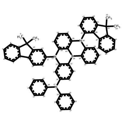 CC1(C)c2ccccc2-c2ccc(N3c4cc(N(c5ccccc5)c5ccccc5)ccc4B4c5ccccc5N(c5cccc6c5-c5ccccc5C6(C)C)c5cccc3c54)cc21